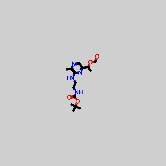 Cc1ncc(C(C)OC=O)nc1NCCNC(=O)OC(C)(C)C